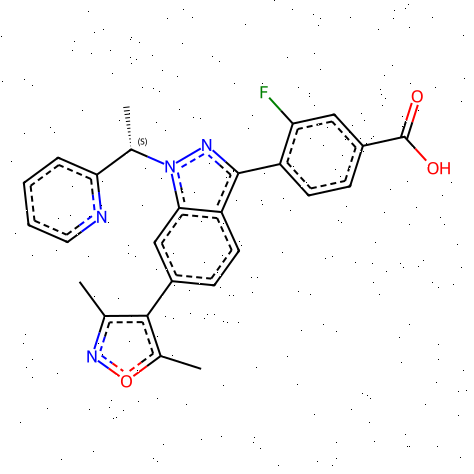 Cc1noc(C)c1-c1ccc2c(-c3ccc(C(=O)O)cc3F)nn([C@@H](C)c3ccccn3)c2c1